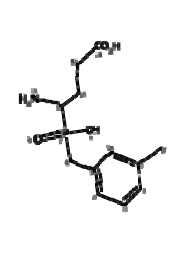 Cc1cccc(CP(=O)(O)C(N)CCC(=O)O)c1